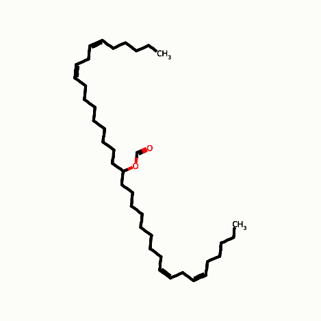 CCCCC/C=C\C/C=C\CCCCCCCCC(CCCCCCCC/C=C\C/C=C\CCCCC)OC=O